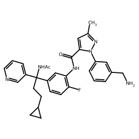 CC(=O)NC(CCC1CC1)(c1cccnc1)c1ccc(F)c(NC(=O)c2cc(C)nn2-c2cccc(CN)c2)c1